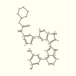 O=C(CC1CCCCC1)Nc1cncc(-c2cc3c(-c4cc5c(-c6cc(O)cc(F)c6)cccc5[nH]4)n[nH]c3cn2)c1